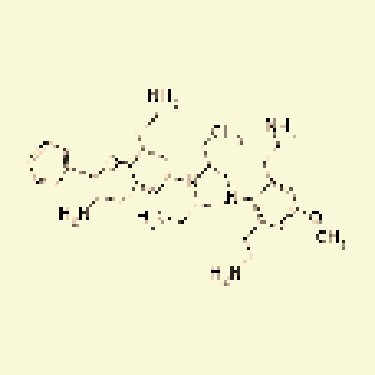 CCC1CN(c2c(CCN)cc(OC)cc2CCN)CC(CC)N1c1cc(CCN)c(OCc2ccccc2)c(CCN)c1